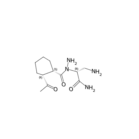 CC(=O)[C@@H]1CCCC[C@@H]1C(=O)N(N)[C@H](CN)C(N)=O